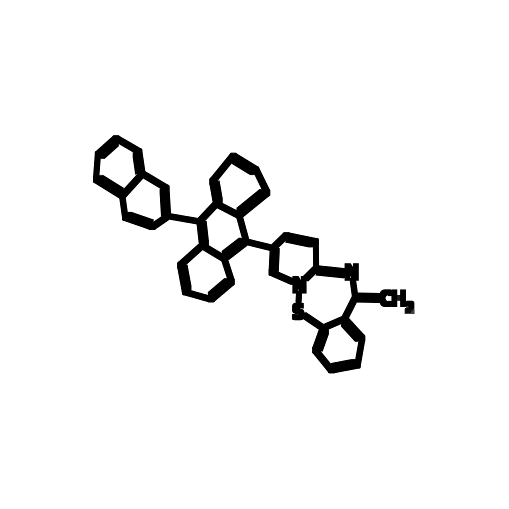 C=C1N=C2C=CC(c3c4ccccc4c(-c4ccc5ccccc5c4)c4ccccc34)=CN2Sc2ccccc21